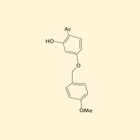 COc1ccc(COc2ccc(C(C)=O)c(O)c2)cc1